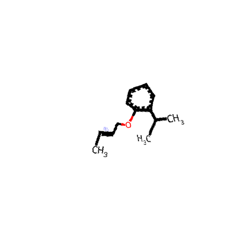 C/C=C/COc1ccccc1C(C)C